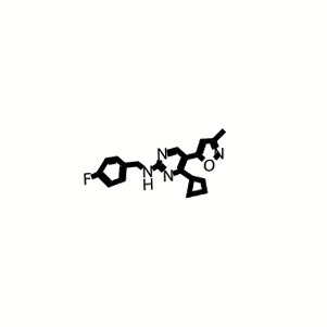 Cc1cc(-c2cnc(NCc3ccc(F)cc3)nc2C2CCC2)on1